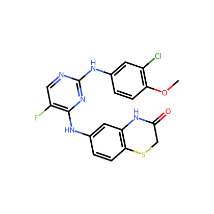 COc1ccc(Nc2ncc(F)c(Nc3ccc4c(c3)NC(=O)CS4)n2)cc1Cl